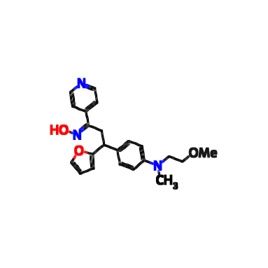 COCCN(C)c1ccc(C(C/C(=N/O)c2ccncc2)c2ccco2)cc1